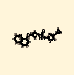 O=C(Nc1nc(C2CC2)ns1)N1CC(Oc2cccc3c2N=CCC3)C1